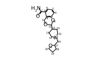 NC(=O)c1cccc2c1COC(C1CCN(CC3CCCO3)CC1)O2